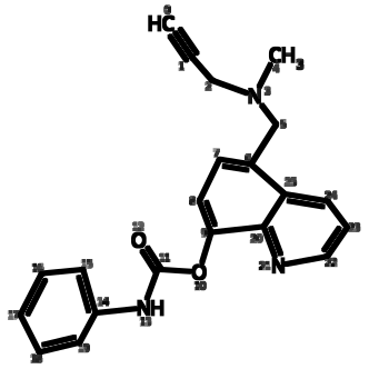 C#CCN(C)Cc1ccc(OC(=O)Nc2ccccc2)c2ncccc12